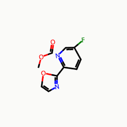 COC=O.Fc1ccc(-c2ncco2)nc1